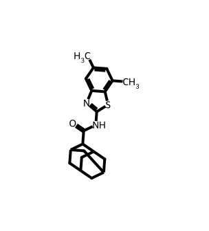 Cc1cc(C)c2sc(NC(=O)C3C4CC5CC(C4)CC3C5)nc2c1